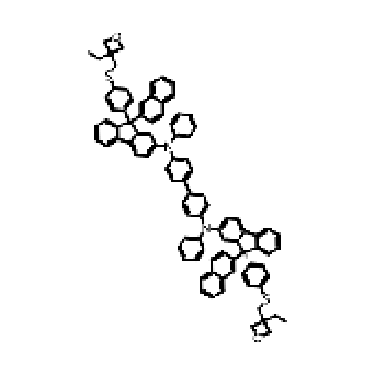 CCC1(CSc2ccc(C3(c4ccc5ccccc5c4)c4ccccc4-c4ccc(N(c5ccccc5)c5ccc(-c6ccc(N(c7ccccc7)c7ccc8c(c7)[C@](c7ccc(SCC9(CC)COC9)cc7)(c7ccc9ccccc9c7)c7ccccc7-8)cc6)cc5)cc43)cc2)COC1